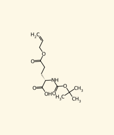 C=CCOC(=O)CC[C@H](NC(=O)OC(C)(C)C)C(=O)O